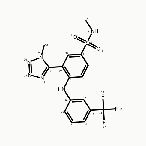 CNS(=O)(=O)c1ccc(Nc2cccc(C(F)(F)F)c2)c(-c2nnnn2C)c1